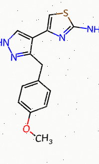 COc1ccc(Cc2n[nH]cc2-c2csc(N)n2)cc1